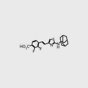 O=C(O)c1ccc(/C=C/c2csc(NC34CC5CC(CC(C5)C3)C4)n2)c(F)c1F